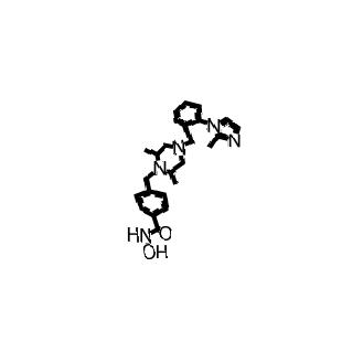 Cc1nccn1-c1ccccc1CN1CC(C)N(Cc2ccc(C(=O)NO)cc2)C(C)C1